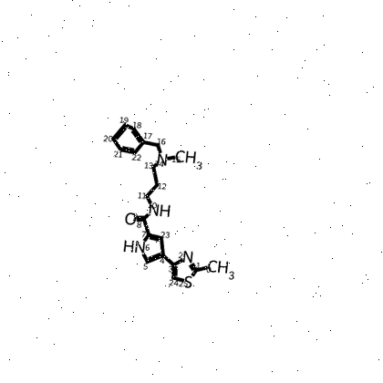 Cc1nc(-c2c[nH]c(C(=O)NCCCN(C)Cc3ccccc3)c2)cs1